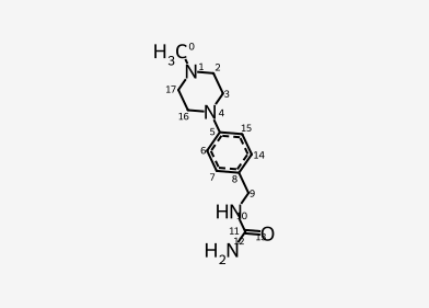 CN1CCN(c2ccc(CNC(N)=O)cc2)CC1